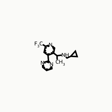 CC(NCC1CC1)c1cnc(C(F)(F)F)cc1-c1ncccn1